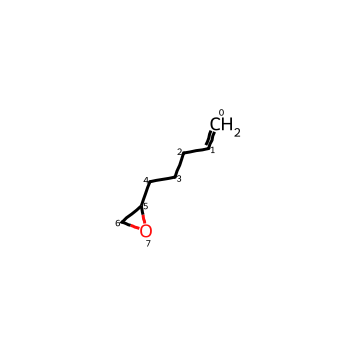 C=CCCCC1CO1